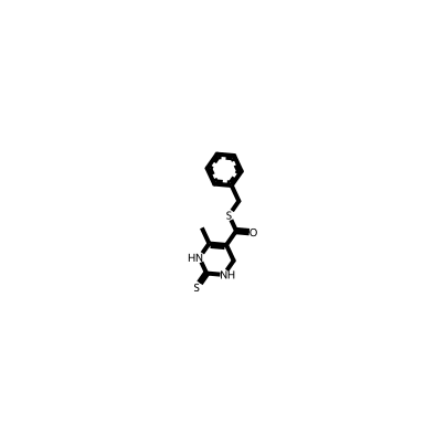 CC1=C(C(=O)SCc2ccccc2)CNC(=S)N1